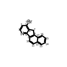 Brc1ccnc2c1Cc1c-2ccc2ccccc12